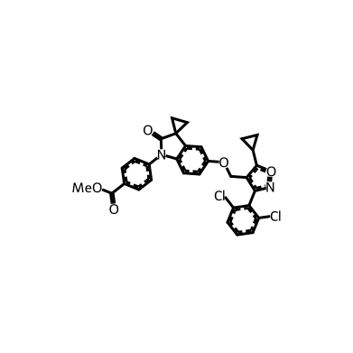 COC(=O)c1ccc(N2C(=O)C3(CC3)c3cc(OCc4c(-c5c(Cl)cccc5Cl)noc4C4CC4)ccc32)cc1